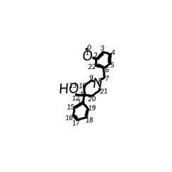 COc1cccc(CN2CCC(CO)(c3ccccc3)CC2)c1